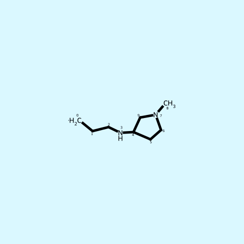 [CH2]CCNC1CCN(C)C1